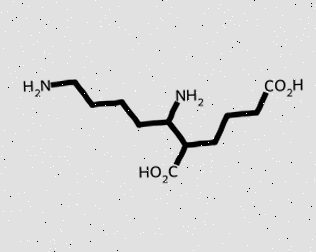 NCCCCC(N)C(CCCC(=O)O)C(=O)O